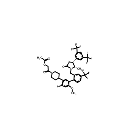 COc1cc(F)c(C2CCN(C(=O)COC(C)=O)CC2)cc1-c1ccc(C(F)(F)F)cc1CN1C(=O)O[C@H](c2cc(C(F)(F)F)cc(C(F)(F)F)c2)[C@@H]1C